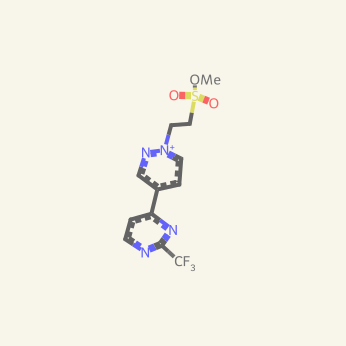 COS(=O)(=O)CC[n+]1ccc(-c2ccnc(C(F)(F)F)n2)cn1